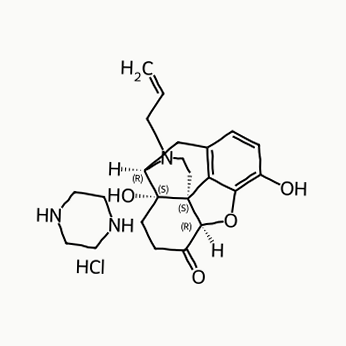 C1CNCCN1.C=CCN1CC[C@]23c4c5ccc(O)c4O[C@H]2C(=O)CC[C@@]3(O)[C@H]1C5.Cl